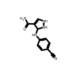 N#Cc1ccc(NC2NNC=C2C(N)=O)cc1